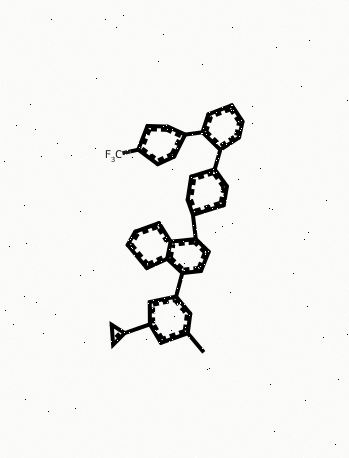 Cc1cc(C2=CC2)cc(-c2ccc(-c3ccc(-c4ccccc4-c4ccc(C(F)(F)F)cc4)cc3)c3ccccc23)c1